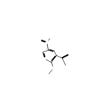 CSc1ncc([N+](=O)[O-])cc1C(C)=O